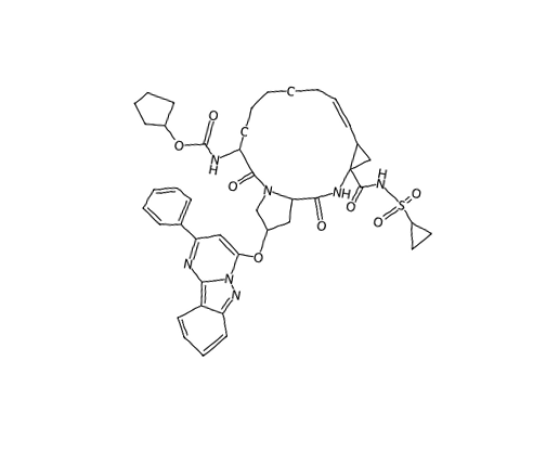 O=C(NC1CCCCCC=CC2CC2(C(=O)NS(=O)(=O)C2CC2)NC(=O)C2CC(Oc3cc(-c4ccccc4)nc4c5ccccc5nn34)CN2C1=O)OC1CCCC1